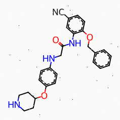 N#Cc1ccc(OCc2ccccc2)c(NC(=O)CNc2ccc(OC3CCNCC3)cc2)c1